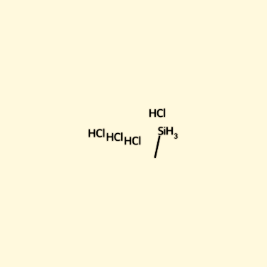 C[SiH3].Cl.Cl.Cl.Cl